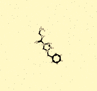 CCOC(=O)N1CN(Cc2ccccc2)N=N1